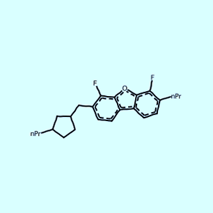 CCCc1ccc2c(oc3c(F)c(CC4CCC(CCC)C4)ccc32)c1F